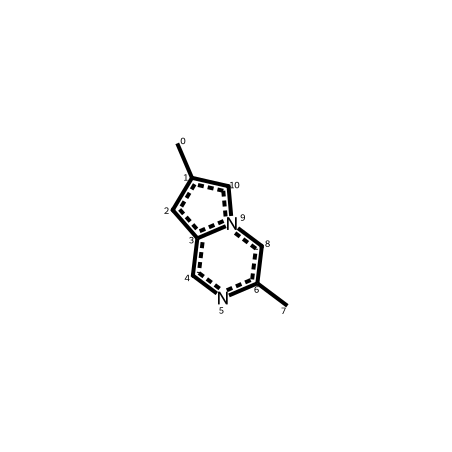 Cc1cc2cnc(C)cn2c1